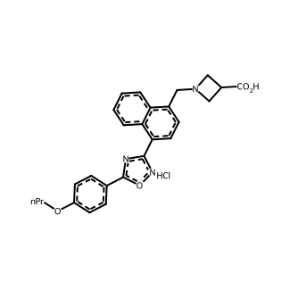 CCCOc1ccc(-c2nc(-c3ccc(CN4CC(C(=O)O)C4)c4ccccc34)no2)cc1.Cl